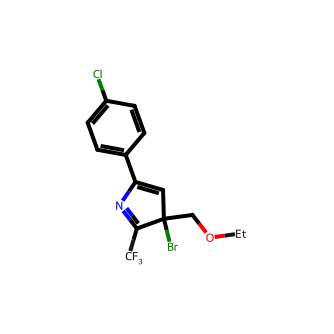 CCOCC1(Br)C=C(c2ccc(Cl)cc2)N=C1C(F)(F)F